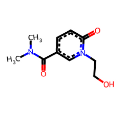 CN(C)C(=O)c1ccc(=O)n(CCO)c1